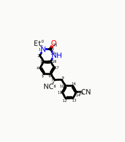 CCN1Cc2ccc([C@@H](C#N)Cc3cccc(C#N)c3)cc2NC1=O